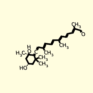 C\C(C=O)=C/C=C/C=C(C)/C=C/C=C(\C)C=C=C1C(C)(C)C[C@H](O)C[C@@]1(C)O